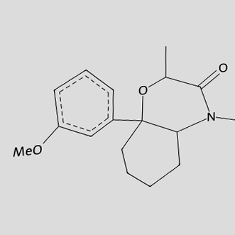 COc1cccc(C23CCCCC2N(C)C(=O)C(C)O3)c1